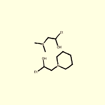 CCC(O)CN(C)C.CCC(O)CN1CCCCC1